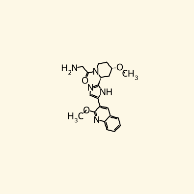 COc1nc2ccccc2cc1-c1cnc([C@@H]2C[C@@H](OC)CCN2C(=O)CN)[nH]1